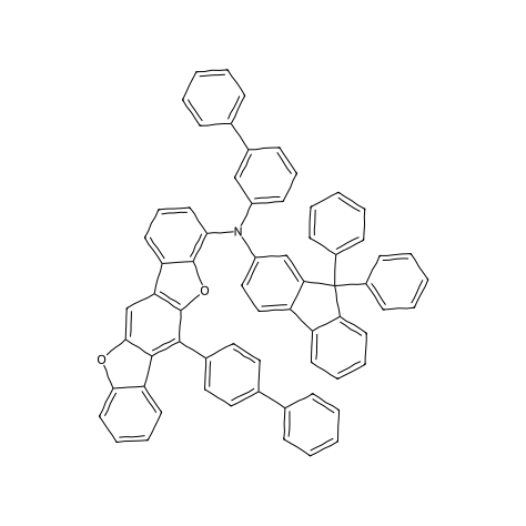 c1ccc(-c2ccc(-c3c4oc5c(N(c6cccc(-c7ccccc7)c6)c6ccc7c(c6)C(c6ccccc6)(c6ccccc6)c6ccccc6-7)cccc5c4cc4oc5ccccc5c34)cc2)cc1